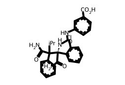 CC(C)C(C(N)=O)(c1ccccc1)[C@](NC(=O)Nc1cccc(C(=O)O)c1)(C(N)=O)c1ccccc1Cl